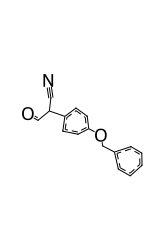 N#CC(C=O)c1ccc(OCc2ccccc2)cc1